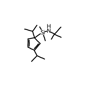 CC(C)C1=CC(C(C)C)([Si](C)(C)NC(C)(C)C)C=C1